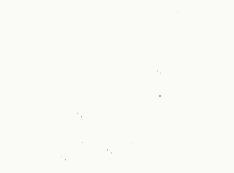 N=C(N)N[C@H]1CC[C@@H](N2CC(S)C2)C1